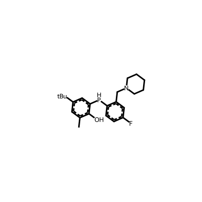 Cc1cc(C(C)(C)C)cc(Pc2ccc(F)cc2CN2CCCCC2)c1O